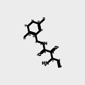 C=CC(N)C(=O)C(=O)NCC1=C(C)CCC(C)=C1